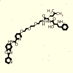 CC(C)CC[C@H](NC(=O)[C@@H](O)[C@H](N)Cc1ccccc1)C(=O)NCCOCCOCCOc1ccc(C(=O)Nc2ccc3oc(-c4cccnc4)nc3c2)nc1